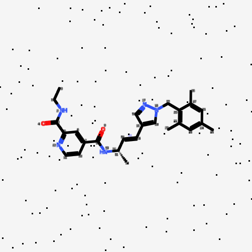 CCNC(=O)c1cc(C(=O)N[C@@H](C)/C=C/c2cnn(Cc3c(C)cc(C)cc3C)c2)ccn1